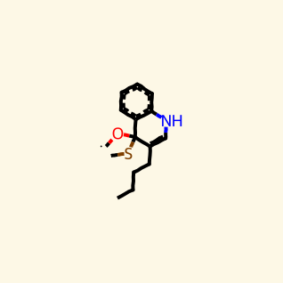 [CH2]OC1(SC)C(CCCC)=CNc2ccccc21